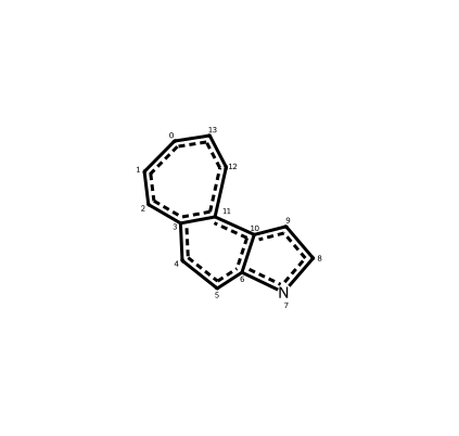 c1ccc2ccc3nccc3c2cc1